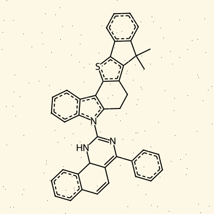 CC1(C)c2ccccc2-c2sc3c(c21)CCc1c-3c2ccccc2n1C1=NC(c2ccccc2)=C2C=Cc3ccccc3C2N1